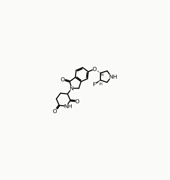 O=C1CCC(N2Cc3cc(O[C@@H]4CNC[C@H]4F)ccc3C2=O)C(=O)N1